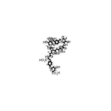 CCCNC(=O)c1cc(COC(=O)N(C)C(C(=O)NCC(=O)N(C)C(C(C)CC)[C@@H](CC(=O)N2CCC[C@H]2[C@H](OC)[C@@H](C)C(=O)N[C@H](Cc2ccc(O[C@@H]3C[C@H](O)C[C@H](C(=O)O)O3)cc2)C(=O)O)OC)C(C)C)ccc1O[C@H]1C[C@@H](O)[C@@H](O)[C@@H](CO)O1